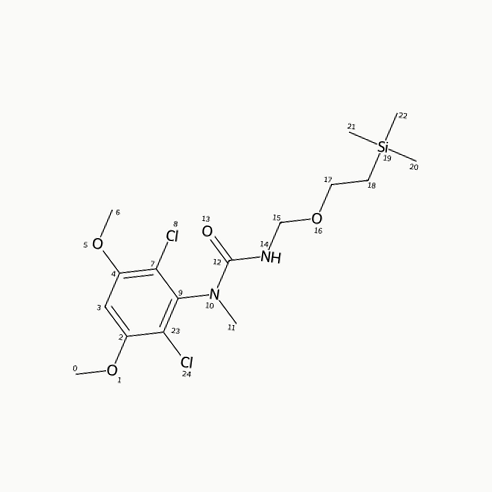 COc1cc(OC)c(Cl)c(N(C)C(=O)NCOCC[Si](C)(C)C)c1Cl